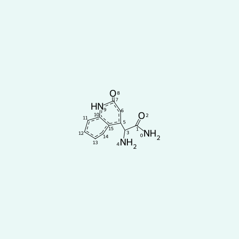 NC(=O)C(N)c1cc(=O)[nH]c2ccccc12